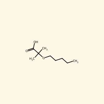 CCCCCOC(C)(C)C(=O)O